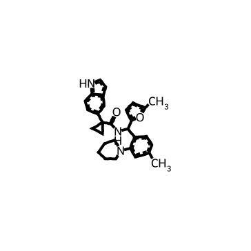 Cc1ccc(C(NC(=O)C2(c3ccc4[nH]ccc4c3)CC2)c2ccc(C)o2)c(N2CCCCC2)c1